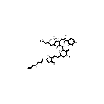 C=CCOC/C=C/[C@H]1CC(=C)C(CCC2C[C@@H](C)C(=C)C(CC3OC(C[C@H](O)CO)[C@H](OC)C3CS(=O)(=O)c3ccccc3)O2)O1